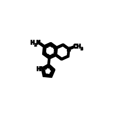 CN1CCc2c(cc(N)cc2-c2ccc[nH]2)C1